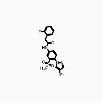 CC(C)c1cnn(-c2ccc(NC(=O)Cc3ccccc3F)cc2S(N)(=O)=O)c1